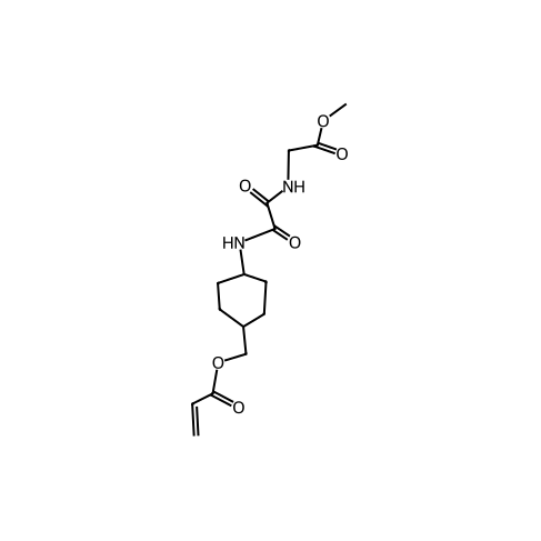 C=CC(=O)OCC1CCC(NC(=O)C(=O)NCC(=O)OC)CC1